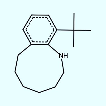 CC(C)(C)c1cccc2c1NCCCCCC2